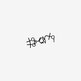 CC(C)(Cn1cc(B2OC(C)(C)C(C)(C)O2)cn1)OI